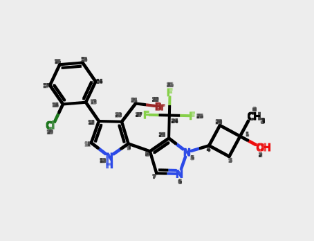 CC1(O)CC(n2ncc(-c3[nH]cc(-c4ccccc4Cl)c3CBr)c2C(F)(F)F)C1